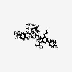 C=CCc1cc(-c2cnc(C)nc2)cc2c(C(C)=O)nn(CC(=O)N3[C@H](C(=O)Nc4nc(C(F)(F)F)ccc4C)C[C@@]4(CO)C[C@@H]34)c12